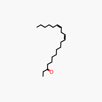 CCCCC/C=C\C/C=C\CCCCCCCC(=O)CC